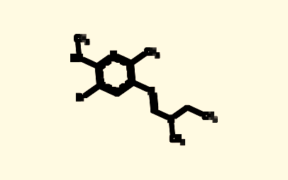 CCN(C)C=Nc1cc(Br)c(NC)nc1C